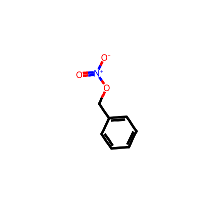 O=[N+]([O-])OCc1ccccc1